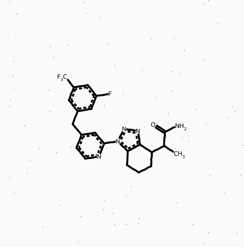 CC(C(N)=O)C1CCCc2c1nnn2-c1cc(Cc2cc(F)cc(C(F)(F)F)c2)ccn1